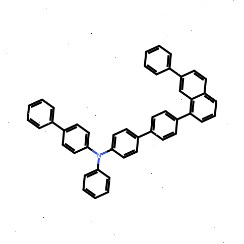 c1ccc(-c2ccc(N(c3ccccc3)c3ccc(-c4ccc(-c5cccc6ccc(-c7ccccc7)cc56)cc4)cc3)cc2)cc1